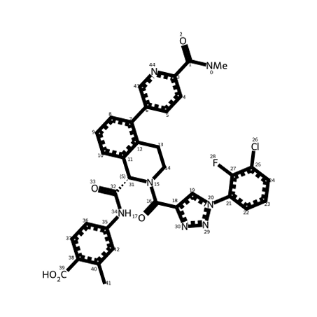 CNC(=O)c1ccc(-c2cccc3c2CCN(C(=O)c2cn(-c4cccc(Cl)c4F)nn2)[C@@H]3C(=O)Nc2ccc(C(=O)O)c(C)c2)cn1